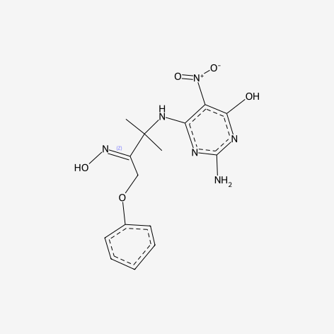 CC(C)(Nc1nc(N)nc(O)c1[N+](=O)[O-])/C(COc1ccccc1)=N/O